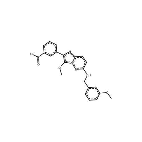 COc1cccc(CNc2ccc3nc(-c4cccc([N+](=O)[O-])c4)c(OC)n3n2)c1